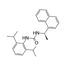 CC(C)c1cccc(C(C)C)c1NC(=O)N[C@H](C)c1cccc2ccccc12